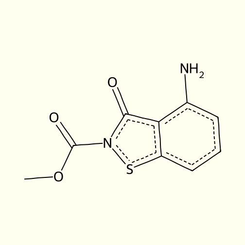 COC(=O)n1sc2cccc(N)c2c1=O